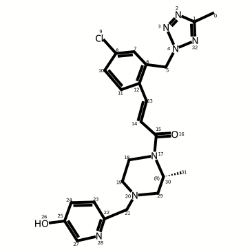 Cc1nnn(Cc2cc(Cl)ccc2C=CC(=O)N2CCN(Cc3ccc(O)cn3)C[C@H]2C)n1